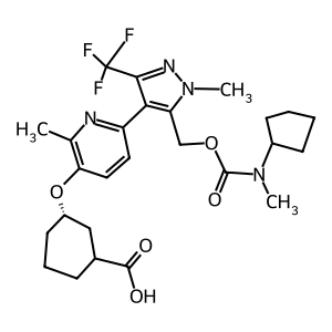 Cc1nc(-c2c(C(F)(F)F)nn(C)c2COC(=O)N(C)C2CCCC2)ccc1O[C@H]1CCCC(C(=O)O)C1